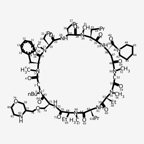 CCCCN1CC(=O)N(C)[C@@H](Cc2ccccc2)C(=O)N(C)[C@@H](CC(C)C)C(=O)N[C@@H](CC(C)C)C(=O)N(C)[C@@H](CC(C)C)C(=O)N[C@H](C(=O)N2CCCCC2)CC(=O)N(C)CC(=O)N(C)[C@@H](CC)C(=O)N[C@@H](C(C)C)C(=O)N(C)C(CC)C(=O)N[C@@H](COCC2COCCN2)C1=O